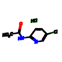 Cl.O=C(O)C(=O)Nc1ccc(Cl)cn1